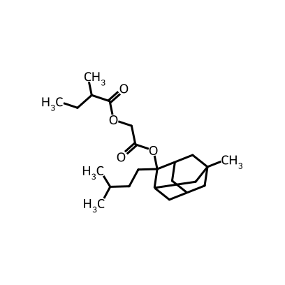 CCC(C)C(=O)OCC(=O)OC1(CCC(C)C)C2CC3CC1CC(C)(C3)C2